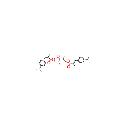 CC(=Cc1ccc(C(C)C)cc1)C(=O)OCC(C)C(=O)C(C)COC(=O)C(C)=Cc1ccc(C(C)C)cc1